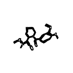 COc1ccc(C(=O)N2CCCCC2C(=O)N(C)OC)cc1OC